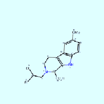 CCC(CC)CN1CCc2c([nH]c3ccc(OC)cc23)C1C(=O)O